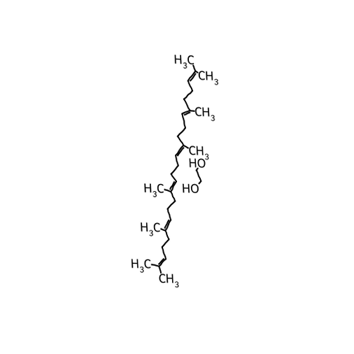 CC(C)=CCC/C(C)=C/CC/C(C)=C/CC/C=C(\C)CC/C=C(\C)CCC=C(C)C.OCCO